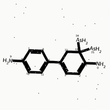 NC1=CC=C(c2ccc(N)cc2)CC1([AsH2])[AsH2]